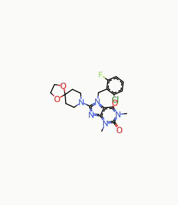 Cn1c(=O)c2c(nc(N3CCC4(CC3)OCCO4)n2Cc2c(F)cccc2Cl)n(C)c1=O